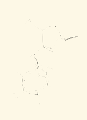 CN1C=C(Nc2nc(Cl)ncc2Cl)C(C#N)N1